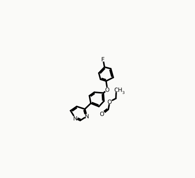 CCOC=O.Fc1ccc(Oc2ccc(-c3ccncn3)cc2)cc1